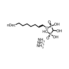 CCCCCCCCCCCCCCCC=COP(=O)(O)C(O)P(=O)(O)O.N.N.N